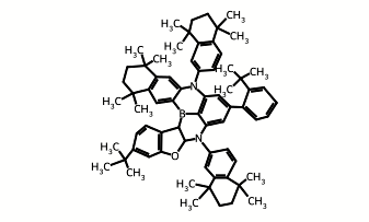 CC(C)(C)c1ccc2c(c1)OC1C2B2c3cc4c(cc3N(c3ccc5c(c3)C(C)(C)CCC5(C)C)c3cc(-c5ccccc5C(C)(C)C)cc(c32)N1c1ccc2c(c1)C(C)(C)CCC2(C)C)C(C)(C)CCC4(C)C